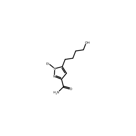 CCn1nc(C(N)=O)cc1CCCCO